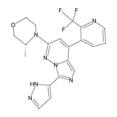 C[C@@H]1COCCN1c1cc(-c2cccnc2C(F)(F)F)c2cnc(-c3ccn[nH]3)n2n1